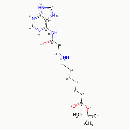 CC(C)(C)OC(=O)CCCCCCNCCC(=O)Nc1ncnc2[nH]cnc12